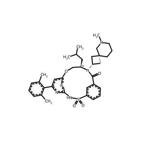 Cc1cccc(C)c1-c1cc2nc(n1)NS(=O)(=O)c1cccc(c1)C(=O)N([C@H]1C[C@]3(CCCN(C)C3)C1)[C@H](CC(C)C)CO2